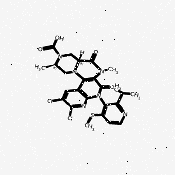 CSc1ccnc(C(C)C)c1-n1c(=O)c2c(c3cc(Cl)c(Cl)nc31)N1C[C@@H](C)N(C(=O)O)C[C@@H]1C(=O)N2C